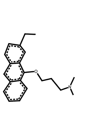 CCc1ccc2cc3ccccc3c(OCCCN(C)C)c2c1